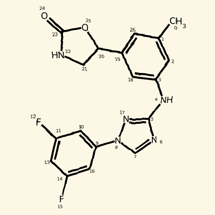 Cc1cc(Nc2ncn(-c3cc(F)cc(F)c3)n2)cc(C2CNC(=O)O2)c1